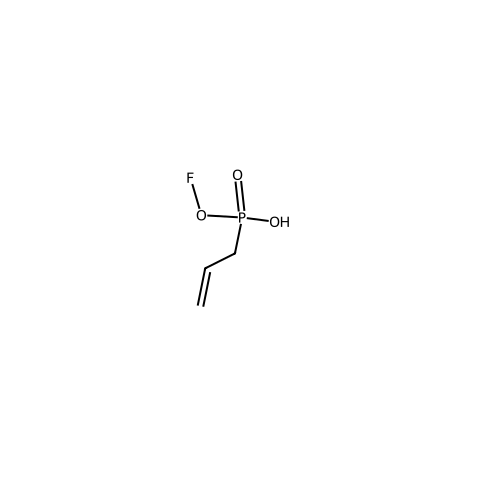 C=CCP(=O)(O)OF